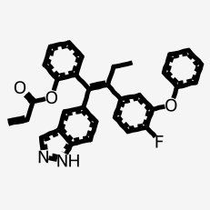 C=CC(=O)Oc1ccccc1/C(=C(\CC)c1ccc(F)c(Oc2ccccc2)c1)c1ccc2[nH]ncc2c1